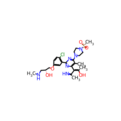 CNC[C@@H](O)COc1ccc(Cl)c(-c2nc(/C(C(C)=N)=C(\C)O)c(C)c(N3CCN(S(C)(=O)=O)CC3)n2)c1